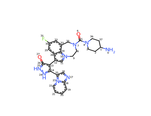 NC1CCN(C(=O)N2CCn3cc(-c4c(-c5cnc6ccccn56)[nH][nH]c4=O)c4cc(F)cc(c43)C2)CC1